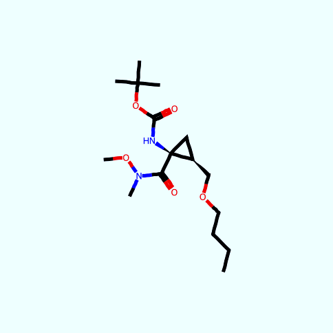 CCCCOC[C@@H]1C[C@@]1(NC(=O)OC(C)(C)C)C(=O)N(C)OC